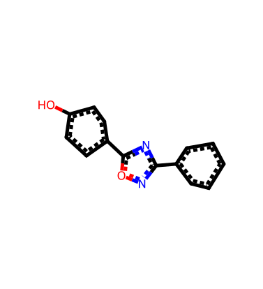 Oc1ccc(-c2nc(-c3ccccc3)no2)cc1